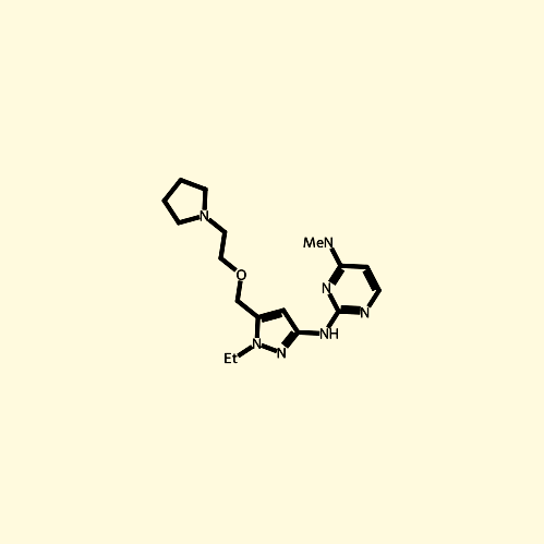 CCn1nc(Nc2nccc(NC)n2)cc1COCCN1CCCC1